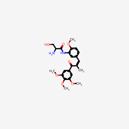 COc1ccc(C=C(C)C(=O)c2cc(OC)c(OC)c(OC)c2)cc1NC(=O)C(N)CO